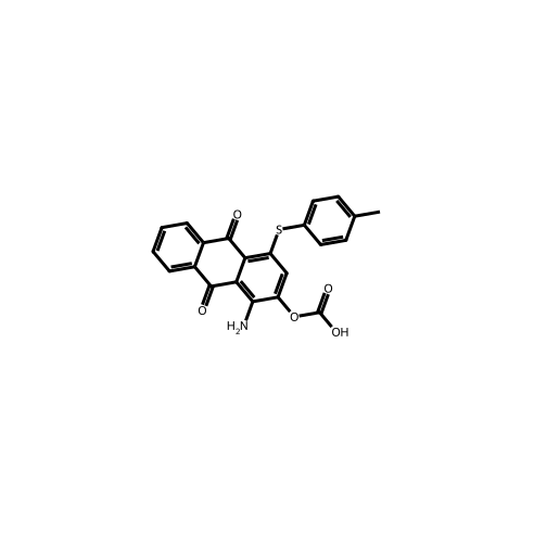 Cc1ccc(Sc2cc(OC(=O)O)c(N)c3c2C(=O)c2ccccc2C3=O)cc1